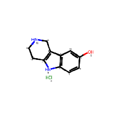 Cl.Oc1ccc2[nH]c3c(c2c1)CNCC3